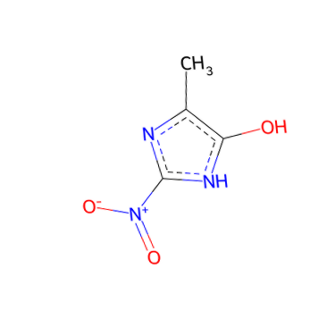 Cc1nc([N+](=O)[O-])[nH]c1O